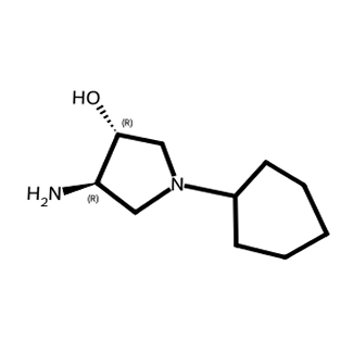 N[C@@H]1CN(C2CCCCC2)C[C@H]1O